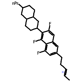 C/C=C/CCc1cc(F)c2c(F)c(C3CCC4CC(CCC)CCC4C3)c(F)cc2c1